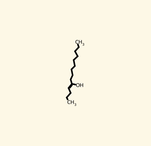 CCCC=C(O)CCCCCCCCC